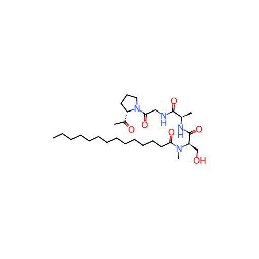 CCCCCCCCCCCCCC(=O)N(C)[C@H](CO)C(=O)N[C@H](C)C(=O)NCC(=O)N1CCC[C@H]1C(C)=O